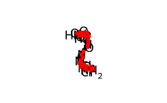 CC(Oc1cc(-c2cnn(C3CCN(CCCCCC(=O)N4CC(CNc5cccc6c5C(=O)N(C5CCC(=O)NC5=O)C6=O)C4)CC3)c2)cnc1N)c1c(Cl)ccc(F)c1Cl